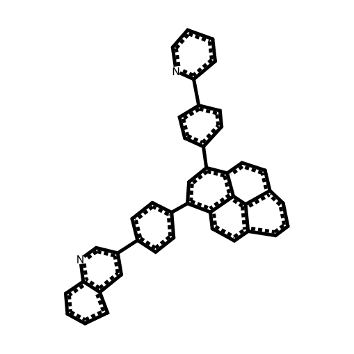 c1ccc(-c2ccc(-c3cc(-c4ccc(-c5cnc6ccccc6c5)cc4)c4ccc5cccc6ccc3c4c56)cc2)nc1